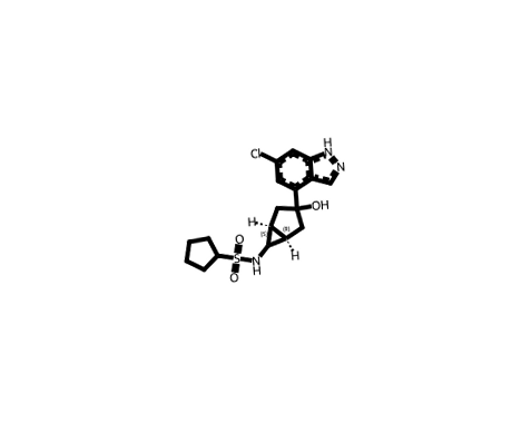 O=S(=O)(NC1[C@H]2CC(O)(c3cc(Cl)cc4[nH]ncc34)C[C@@H]12)C1CCCC1